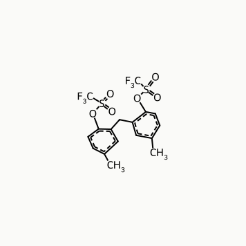 Cc1ccc(OS(=O)(=O)C(F)(F)F)c(Cc2cc(C)ccc2OS(=O)(=O)C(F)(F)F)c1